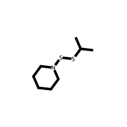 CC(C)SSN1CCCCC1